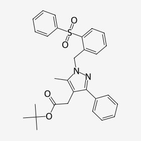 Cc1c(CC(=O)OC(C)(C)C)c(-c2ccccc2)nn1Cc1ccccc1S(=O)(=O)c1ccccc1